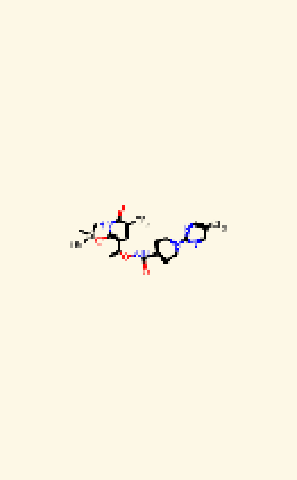 CC(ONC(=O)C1=CCN(c2ncc(C(F)(F)F)cn2)CC1)c1cc(C(F)(F)F)c(=O)[nH]c1O[Si](C)(C)C(C)(C)C